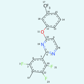 Cc1c(F)cc(-c2nccc(Oc3cccc(C(F)(F)F)c3)n2)c(F)c1F